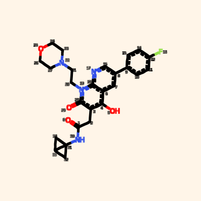 O=C(Cc1c(O)c2cc(-c3ccc(F)cc3)cnc2n(CCN2CCOCC2)c1=O)NC12CC1C2